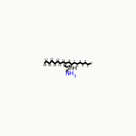 N.[CH2]CCCCCCCCCCCCCCCCC.[CH3][SnH]([CH3])[CH3]